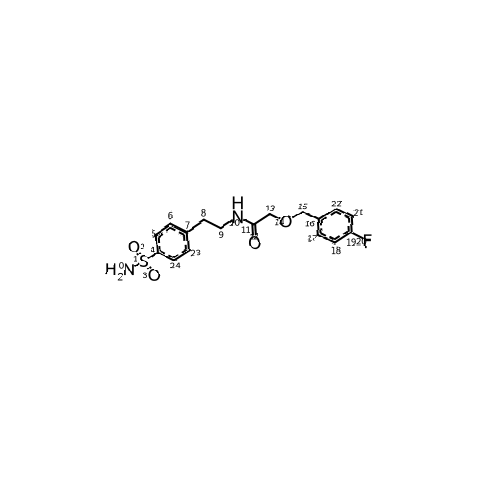 NS(=O)(=O)c1ccc(CCNC(=O)COCc2ccc(F)cc2)cc1